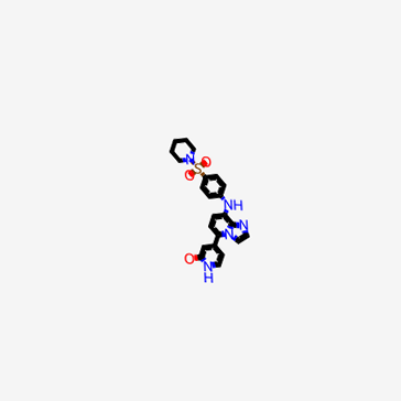 O=c1cc(-c2ccc(Nc3ccc(S(=O)(=O)N4CCCCC4)cc3)c3nccn23)cc[nH]1